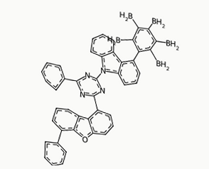 Bc1c(B)c(B)c(-c2cccc3c2c2ccccc2n3-c2nc(-c3ccccc3)nc(-c3cccc4oc5c(-c6ccccc6)cccc5c34)n2)c(B)c1B